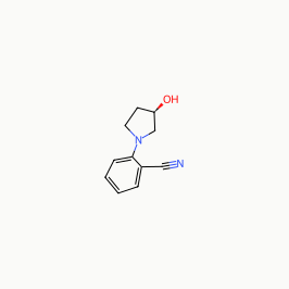 N#Cc1ccccc1N1CC[C@@H](O)C1